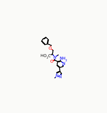 CN(C(=O)c1cc(-c2cnn(C)c2)cnc1N)C(COCc1ccccc1)C(=O)O